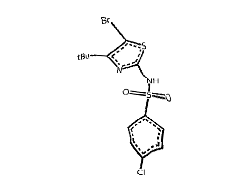 CC(C)(C)c1nc(NS(=O)(=O)c2ccc(Cl)cc2)sc1Br